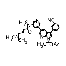 CC(=O)OC(C)n1cc(-c2cccc(C#N)c2)c2cc(-c3cncc(N(C)C(=O)C=CCN(C)C)c3)cnc21